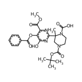 COC(=O)c1nc(C2(C)CN(C(=O)OC(C)(C)C)CCN2C(=O)O)nc(O)c1OC(=O)c1ccccc1